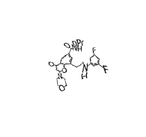 CCCNC(=O)c1cc(CCNc2cc(F)cc(F)c2)c2oc(N3CCOCC3)cc(=O)c2c1